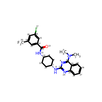 CN(C)c1nc(N[C@H]2CC[C@@H](NC(=O)c3cc(F)cc(C(F)(F)F)c3)CC2)nc2ccccc12